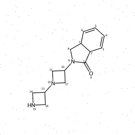 O=C1C2C=CC=CC2CN1C1CN(C2CNC2)C1